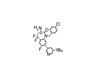 CC(C)(C)c1cncc(-c2cc3c(cc2F)C(F)(F)C[C@@H](N)C(=O)N3Cc2ccc(Cl)cc2)c1